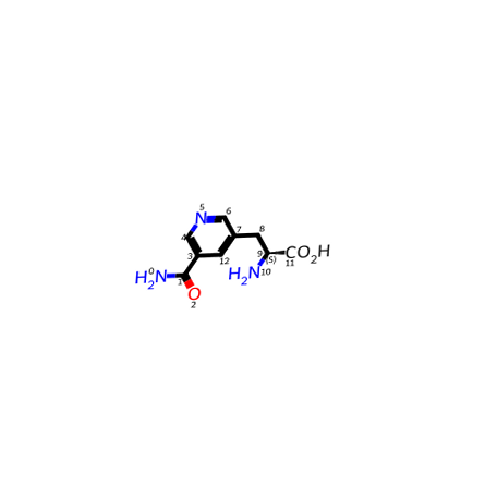 NC(=O)c1cncc(C[C@H](N)C(=O)O)c1